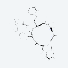 CCC1OC(=O)CC(O)C(C)C(OC2OC(C)C(C)C(N(C)C)C2O)C(CCN2CCCCC2)CC(C)C(=O)/C=C/C(C)=C/C1CN1CC(C)CC(C)C1